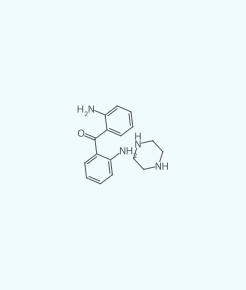 C1CNCCN1.Nc1ccccc1C(=O)c1ccccc1N